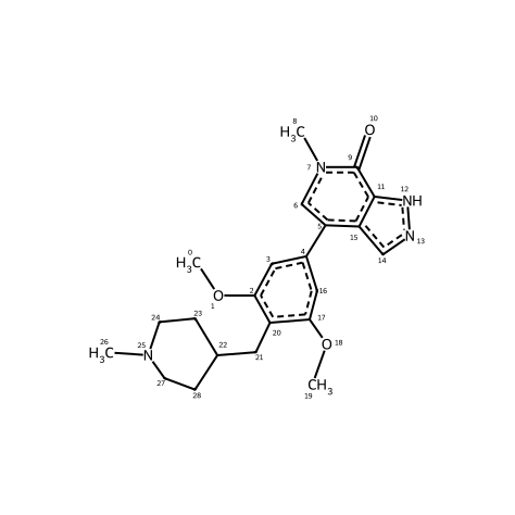 COc1cc(-c2cn(C)c(=O)c3[nH]ncc23)cc(OC)c1CC1CCN(C)CC1